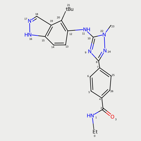 CCNC(=O)c1ccc(-c2nc(Nc3ccc4[nH]ncc4c3C(C)(C)C)n(C)n2)cc1